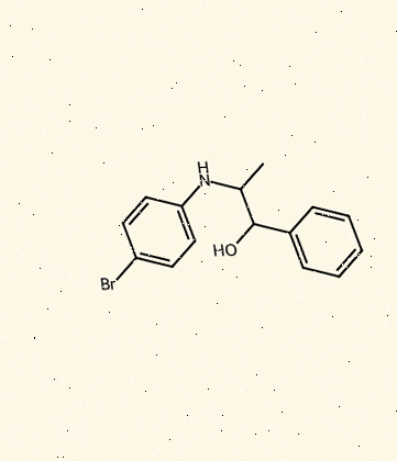 CC(Nc1ccc(Br)cc1)C(O)c1ccccc1